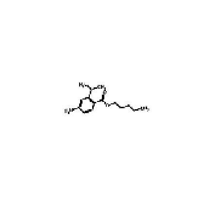 CCCCCOC(=O)c1ccc(N)cc1N(C)C